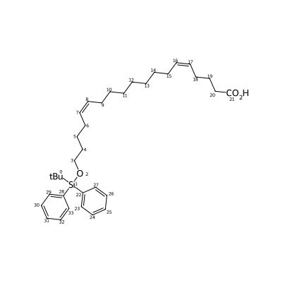 CC(C)(C)[Si](OCCCC/C=C\CCCCCCC/C=C\CCCC(=O)O)(c1ccccc1)c1ccccc1